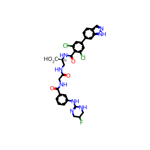 O=C(CNC(=O)c1cccc(NC2=NCC(F)CN2)c1)NC[C@H](NC(=O)c1c(Cl)cc(-c2ccc3cn[nH]c3c2)cc1Cl)C(=O)O